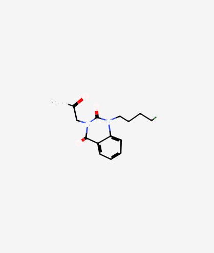 COC(=O)Cn1c(=O)c2ccccc2n(CCCCCl)c1=O